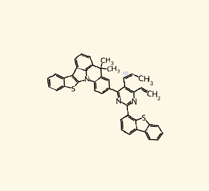 C=Cc1nc(-c2cccc3c2sc2ccccc23)nc(-c2ccc3c(c2)C(C)(C)c2cccc4c5c6ccccc6sc5n-3c24)c1/C=C\C